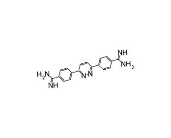 N=C(N)c1ccc(-c2ccc(-c3ccc(C(=N)N)cc3)nn2)cc1